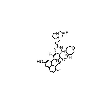 C#Cc1c(F)ccc2cc(O)cc(-c3nc4c5c(nc(OC[C@@]67CCCN6C[C@H](F)C7)nc5c3F)N3CCOCC[C@@H]3CO4)c12